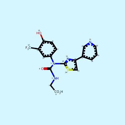 O=C(O)CNC(=O)N(c1ccc(O)c(C(F)(F)F)c1)c1nc(-c2cccnc2)cs1